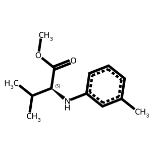 COC(=O)[C@@H](Nc1cccc(C)c1)C(C)C